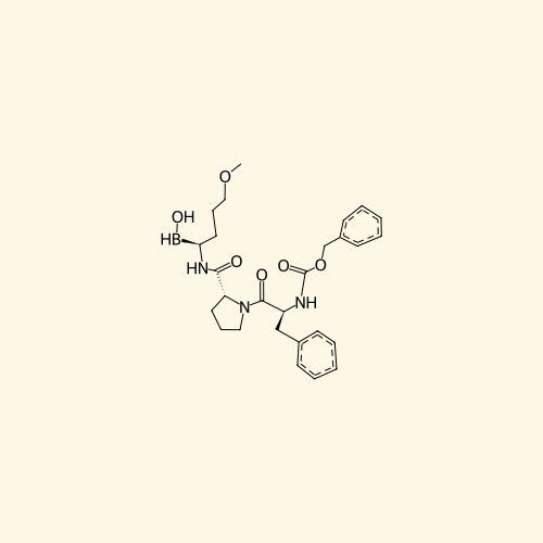 COCCC[C@H](BO)NC(=O)[C@H]1CCCN1C(=O)[C@H](Cc1ccccc1)NC(=O)OCc1ccccc1